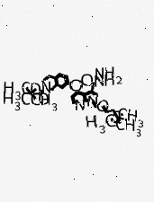 CC(C)(C)OC(=O)N1CCc2ccc(Oc3ccnc4c3c(C(=O)NN)cn4COCCS(C)(C)C)cc2C1